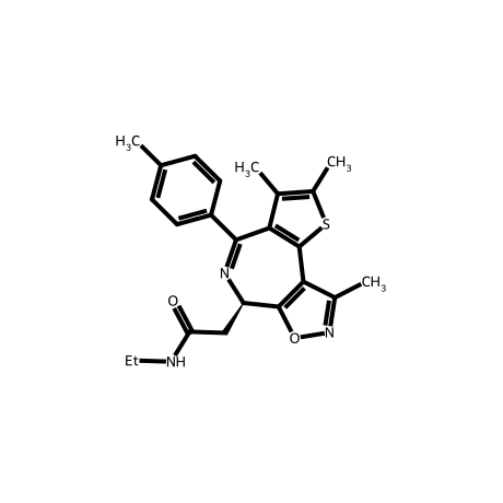 CCNC(=O)C[C@H]1N=C(c2ccc(C)cc2)c2c(sc(C)c2C)-c2c(C)noc21